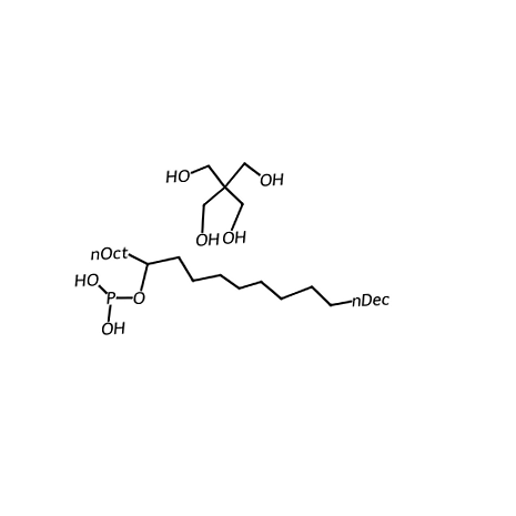 CCCCCCCCCCCCCCCCCCC(CCCCCCCC)OP(O)O.OCC(CO)(CO)CO